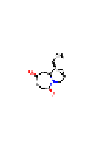 CC=C1CC2CC3C(=O)CCC(=O)N(C2)C13